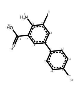 Nc1c(I)cc(-c2ccc(F)cc2)cc1C(=O)O